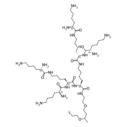 CC(CCOCCNC(=O)[C@H](CCCCNC(=O)[C@H](CCCCNC(=O)[C@@H](N)CCCCN)NC(O)[C@@H](N)CCCCN)NC(=O)[C@H](CCCCNC(=O)[C@@H](N)CCCCN)NC(=O)[C@@H](N)CCCCN)OCCI